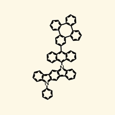 c1ccc(-n2c3ccccc3c3cc4c(cc32)c2ccccc2n4-c2c3ccccc3c(-c3ccc4c(c3)-c3ccccc3-c3ccccc3-c3ccccc3-4)c3ccccc23)cc1